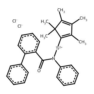 CC1=C(C)C(C)(C)[C]([Ti+2][N](C(=O)c2ccccc2-c2ccccc2)c2ccccc2)=C1C.[Cl-].[Cl-]